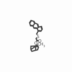 CC1(OC(=O)CSCc2cccc3cc4ccccc4cc23)C2CC3CC(C2)CC1C3